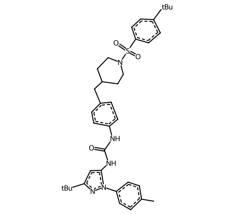 Cc1ccc(-n2nc(C(C)(C)C)cc2NC(=O)Nc2ccc(CC3CCN(S(=O)(=O)c4ccc(C(C)(C)C)cc4)CC3)cc2)cc1